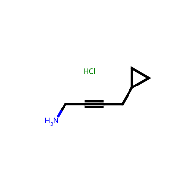 Cl.NCC#CCC1CC1